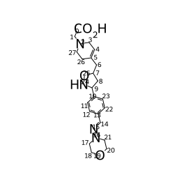 O=C(O)CN1CC=C(CC2CC(c3ccc(C=NN4CCOCC4)cc3)NO2)CC1